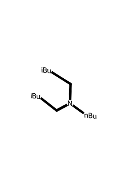 CCCCN(CC(C)CC)CC(C)CC